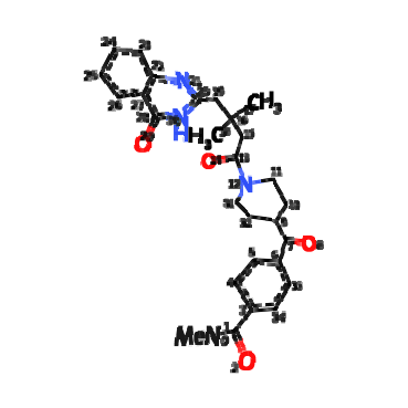 CNC(=O)c1ccc(C(=O)C2CCN(C(=O)CC(C)(C)Cc3nc4ccccc4c(=O)[nH]3)CC2)cc1